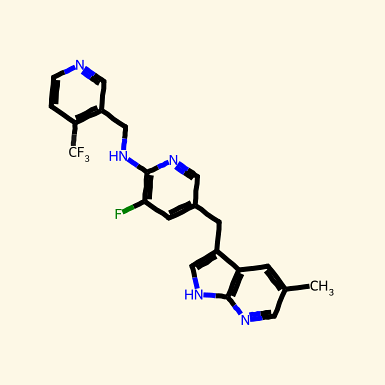 Cc1cnc2[nH]cc(Cc3cnc(NCc4cnccc4C(F)(F)F)c(F)c3)c2c1